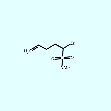 C=CCCC(CC)S(=O)(=O)NC